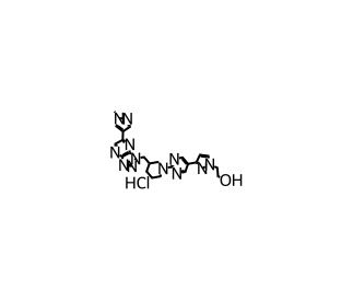 Cl.Cn1cc(-c2cnc3nnn(CC4CCCN(c5ncc(-c6ccn(CCO)n6)cn5)C4)c3n2)cn1